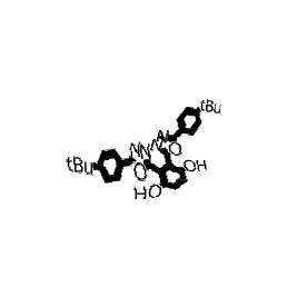 CC(C)(C)c1ccc(-c2nnc(-c3c(O)ccc(O)c3-c3nnc(-c4ccc(C(C)(C)C)cc4)o3)o2)cc1